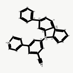 N#Cc1cc(-c2ccncc2)cc(-n2c3ccccc3c3ccc(-c4ccccc4)cc32)c1